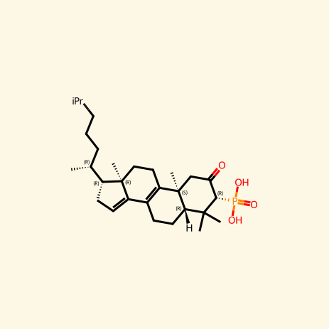 CC(C)CCC[C@@H](C)[C@H]1CC=C2C3=C(CC[C@@]21C)[C@@]1(C)CC(=O)[C@H](P(=O)(O)O)C(C)(C)[C@@H]1CC3